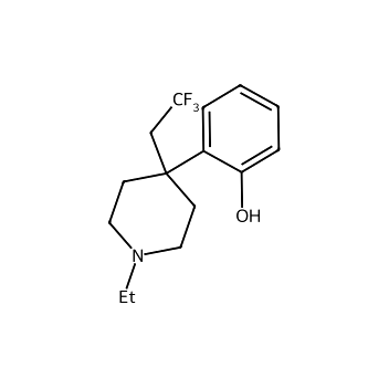 CCN1CCC(CC(F)(F)F)(c2ccccc2O)CC1